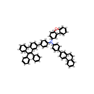 c1ccc(-c2c(-c3ccccc3)c3cc(-c4ccc(N(c5ccc(-c6ccc7c(ccc8ccccc87)c6)cc5)c5ccc6oc7ccccc7c6c5)cc4)ccc3c3ccccc23)cc1